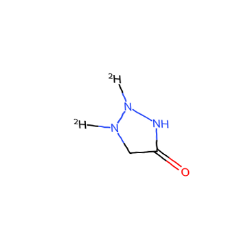 [2H]N1CC(=O)NN1[2H]